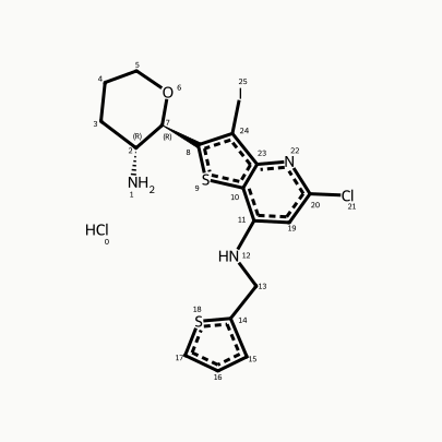 Cl.N[C@@H]1CCCO[C@H]1c1sc2c(NCc3cccs3)cc(Cl)nc2c1I